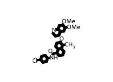 COc1cc2nccc(Oc3ccc4c(C(=O)Nc5ccc(Cl)cc5)cccc4c3C)c2cc1OC